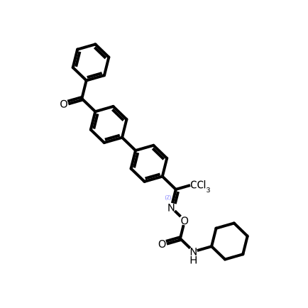 O=C(NC1CCCCC1)O/N=C(/c1ccc(-c2ccc(C(=O)c3ccccc3)cc2)cc1)C(Cl)(Cl)Cl